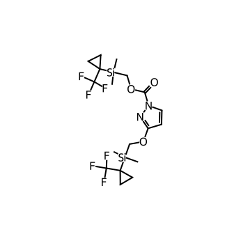 C[Si](C)(COC(=O)n1ccc(OC[Si](C)(C)C2(C(F)(F)F)CC2)n1)C1(C(F)(F)F)CC1